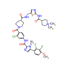 COc1ccc(-c2cnc(C(=O)Nc3ccc(C(=O)N4CCC(C(=O)NCc5cnc(NC(=O)C6CC[N+](C)(C)CC6)s5)CC4)c(Cl)c3)n2C)c(F)c1F